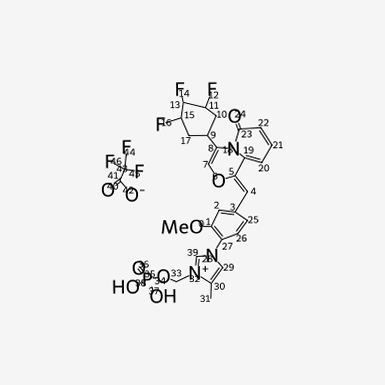 COc1cc(C=C2OC=C(C3CC(F)C(F)C(F)C3)n3c2cccc3=O)ccc1-n1cc(C)[n+](COP(=O)(O)O)c1.O=C([O-])C(F)(F)F